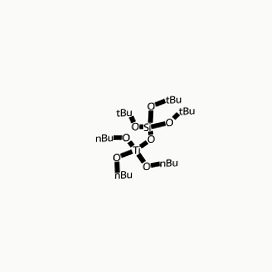 CCCC[O][Ti]([O]CCCC)([O]CCCC)[O][Si](OC(C)(C)C)(OC(C)(C)C)OC(C)(C)C